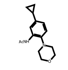 CC(=O)Nc1cc(C2CC2)ccc1N1CCOCC1